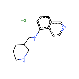 Cl.c1cc(NCC2CCCNC2)c2ccncc2c1